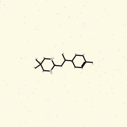 CC1=CCC(C(C)CC2OCC(C)(C)CO2)CC1